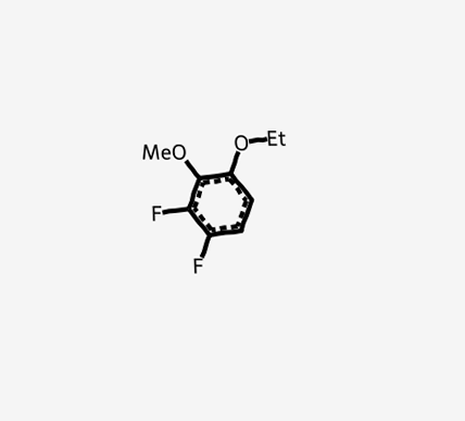 [CH2]COc1ccc(F)c(F)c1OC